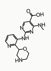 CNc1nc(Nc2cccnc2C2CNCCO2)ncc1C(=O)O